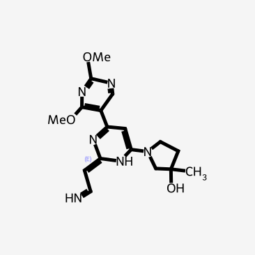 COc1ncc(C2=N/C(=C/C=N)NC(N3CCC(C)(O)C3)=C2)c(OC)n1